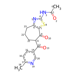 CC(=O)Nc1nc2c(s1)C(=O)C(C(=O)c1ccc(C)nc1)CCC2